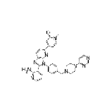 Cn1ccc(-c2ccc3nc(-c4cccnc4N)n(-c4ccc(CN5CCN(c6ccncn6)CC5)cc4)c3n2)cc1=O